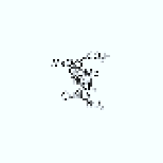 COc1cc(CCC(=O)O)cc(OC)c1OC1CN(CC(O)(c2cn(Cc3ccccc3)c3cc([N+](=O)[O-])ccc23)C(F)(F)F)C1